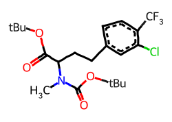 CN(C(=O)OC(C)(C)C)C(CCc1ccc(C(F)(F)F)c(Cl)c1)C(=O)OC(C)(C)C